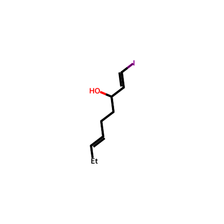 CCC=CCCC(O)C=CI